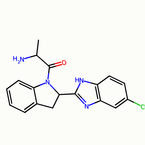 CC(N)C(=O)N1c2ccccc2CC1c1nc2cc(Cl)ccc2[nH]1